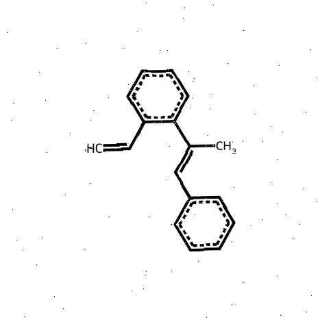 [CH]=Cc1ccccc1C(C)=Cc1[c]cccc1